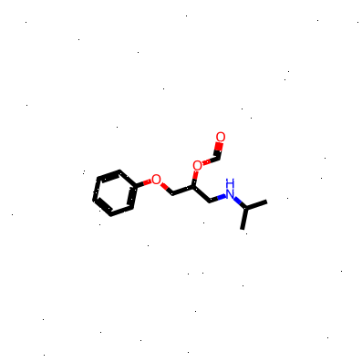 CC(C)NCC(COc1ccccc1)OC=O